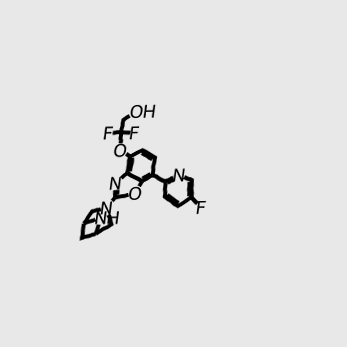 OCC(F)(F)Oc1ccc(-c2ccc(F)cn2)c2oc(N3CC4CC(C3)N4)nc12